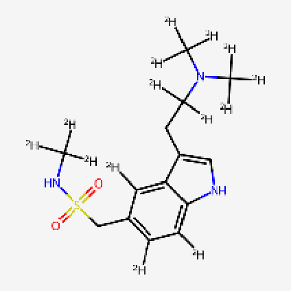 [2H]c1c(CS(=O)(=O)NC([2H])([2H])[2H])c([2H])c2c(CC([2H])([2H])N(C([2H])([2H])[2H])C([2H])([2H])[2H])c[nH]c2c1[2H]